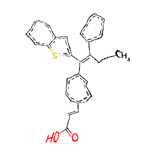 CCC(=C(c1ccc(C=CC(=O)O)cc1)c1cc2ccccc2s1)c1ccccc1